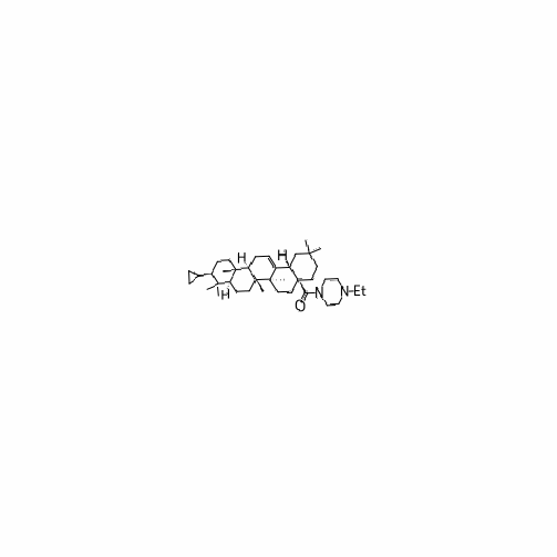 CCN1CCN(C(=O)[C@]23CCC(C)(C)C[C@H]2C2=CC[C@@H]4[C@@]5(C)CC[C@H](C6CC6)C(C)(C)[C@@H]5CC[C@@]4(C)[C@]2(C)CC3)CC1